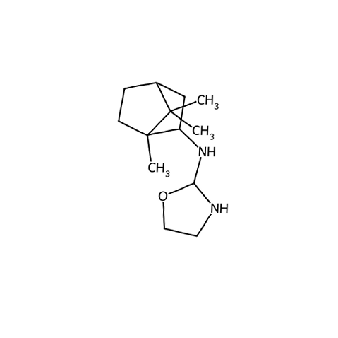 CC1(C)C2CCC1(C)C(NC1NCCO1)C2